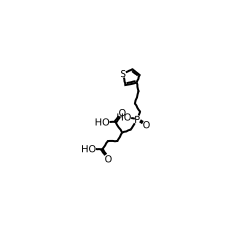 O=C(O)CCC(CP(=O)(O)CCCc1ccsc1)C(=O)O